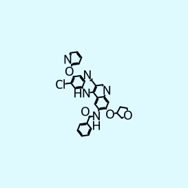 N#Cc1cnc2cc(OC3CCOC3)c(NC(=O)c3ccccc3)cc2c1Nc1ccc(Oc2ccccn2)c(Cl)c1